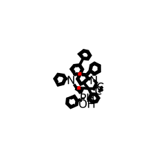 O[PH]1(c2ccccc2)c2ccccc2C2(c3ccccc3-n3c4ccccc4c4cccc2c43)c2cc(N(c3ccccc3)c3ccc(-c4ccccc4)cc3)ccc21